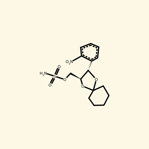 NS(=O)(=O)OC[C@@H]1OC2(CCCCC2)O[C@H]1c1ccccc1[N+](=O)[O-]